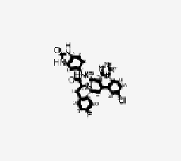 O=C(Nc1ccc2[nH]c(=O)[nH]c2c1)C(Cc1ccc(F)cc1)n1ccc(-c2cc(Cl)ccc2-n2cnnn2)cc1=O